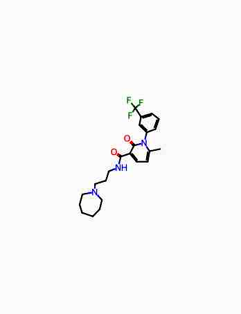 Cc1ccc(C(=O)NCCCN2CCCCCC2)c(=O)n1-c1cccc(C(F)(F)F)c1